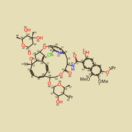 COc1c(OC(C)C)cc2cc(O)c(C(=O)NC3Cc4ccc(c(Cl)n4)OC4C=C5C#C/C(=C\C#C[C@@H]6O[C@]56[C@@H]4O[C@H]4C[C@@](C)(O)[C@@H](O)[C@H](C)O4)C(O[C@H]4C[C@H](O)[C@H](C(C)C)[C@H](C)O4)COC3=O)cc2c1OC